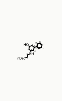 CCCCCCCCCCCCNC1CC(O)CC(c2ccccc2)C1